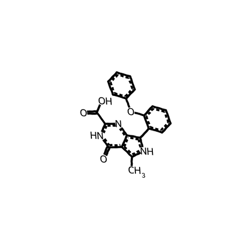 Cc1[nH]c(-c2ccccc2Oc2ccccc2)c2nc(C(=O)O)[nH]c(=O)c12